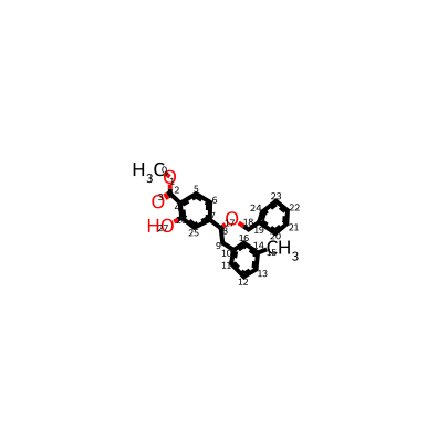 COC(=O)c1ccc(C(Cc2cccc(C)c2)OCc2ccccc2)cc1O